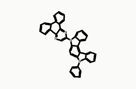 c1ccc(-n2c3ccccc3c3c4c5ccccc5n(-c5cnc6c7ccccc7c7ccccc7c6n5)c4ccc32)cc1